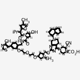 Cc1cc(C(C(=O)N2C[C@H](O)C[C@H]2C(=O)NCc2ccc(-c3scnc3C)cc2OCCOCCO[C@@H]2C[C@@H](COc3nc4c(c(N5CCN(C(=O)O)[C@@H](CC#N)C5)n3)CCN(c3cccc5ccccc35)C4)N(C)C2)C(C)C)on1